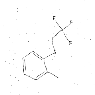 Cc1ccccc1SCC(F)(F)F